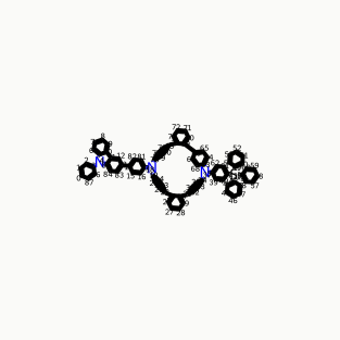 c1ccc(-n2c3ccccc3c3cc(-c4ccc(N5c6ccc(cc6)-c6ccccc6-c6ccc(cc6)N(c6ccc([Si](c7ccccc7)(c7ccccc7)c7ccccc7)cc6)c6ccc(cc6)-c6ccccc6-c6ccc5cc6)cc4)ccc32)cc1